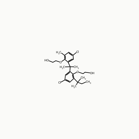 CCC(C)(C)c1cc(Cl)cc(C(C)(C)c2cc(Cl)cc(C)c2OCCO)c1OCCO